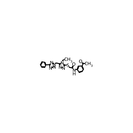 CCn1c(Cn2nnc(-c3ccccc3)n2)nnc1SCC(=O)Nc1cccc(C(C)=O)c1